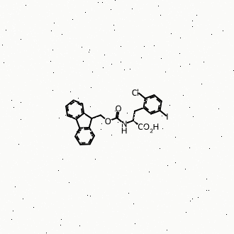 O=C(N[C@@H](Cc1cc(I)ccc1Cl)C(=O)O)OCC1c2ccccc2-c2ccccc21